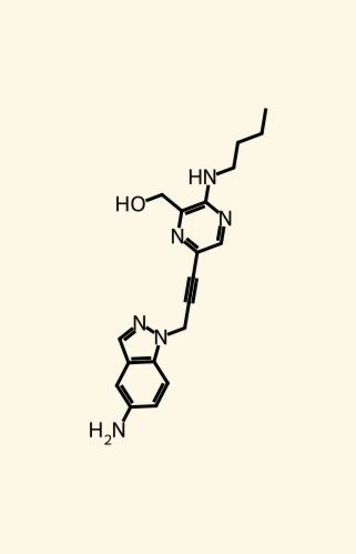 CCCCNc1ncc(C#CCn2ncc3cc(N)ccc32)nc1CO